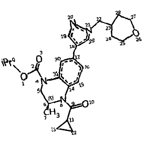 CC(C)OC(=O)N1C[C@H](C)N(C(=O)C2CC2)c2ccc(-c3cnn(CC4CCOCC4)c3)cc21